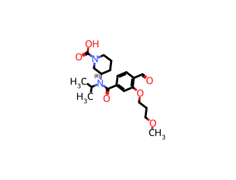 COCCCOc1cc(C(=O)N(C(C)C)[C@@H]2CCCN(C(=O)O)C2)ccc1C=O